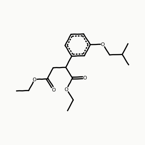 CCOC(=O)CC(C(=O)OCC)c1cccc(OCC(C)C)c1